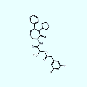 C[C@H](NC(=O)Cc1cc(F)cc(F)c1)C(=O)N[C@@H]1CC=C[C@@H](c2ccccc2)N(C2CCCC2)C1=O